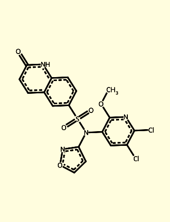 COc1nc(Cl)c(Cl)cc1N(c1ccon1)S(=O)(=O)c1ccc2[nH]c(=O)ccc2c1